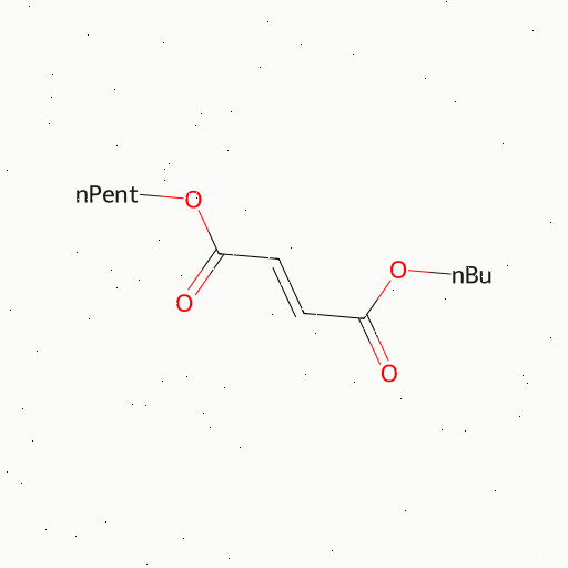 CCCCCOC(=O)C=CC(=O)OCCCC